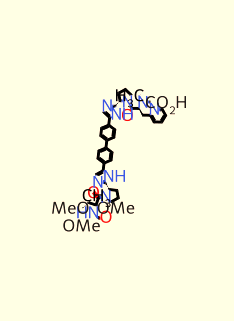 COC(=O)N[C@@](OC)(C(=O)N1CCC[C@H]1c1ncc(-c2ccc(-c3ccc(-c4cnc([C@@H]5CCCN5C(=O)[C@H](Cc5ccccn5)N(C)C(=O)O)[nH]4)cc3)cc2)[nH]1)[C@@H](C)OC